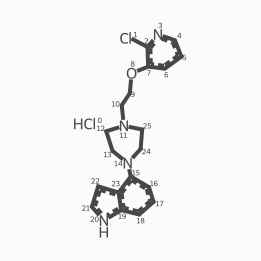 Cl.Clc1ncccc1OCCN1CCN(c2cccc3[nH]ccc23)CC1